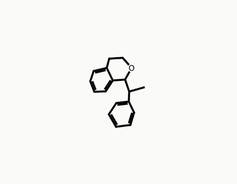 CC(c1ccccc1)C1OCCc2ccccc21